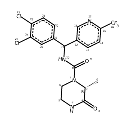 C[C@@H]1C(=O)NCCN1C(=O)NC(c1ccc(C(F)(F)F)nc1)c1ccc(Cl)c(Cl)c1